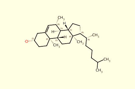 CC(C)CCC[C@@H](C)[C@H]1CC[C@H]2[C@@H]3[C@@H](C)C=C4C[C@@H]([O])CC[C@]4(C)[C@H]3CC[C@]12C